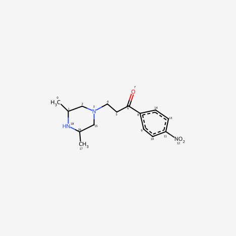 CC1CN(CCC(=O)c2ccc([N+](=O)[O-])cc2)CC(C)N1